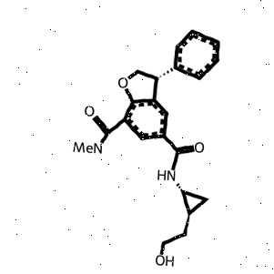 CNC(=O)c1cc(C(=O)N[C@@H]2C[C@H]2CCO)cc2c1OC[C@@H]2c1ccccc1